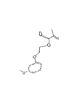 C=C(C)C(=O)OCCOc1cccc(OC)c1